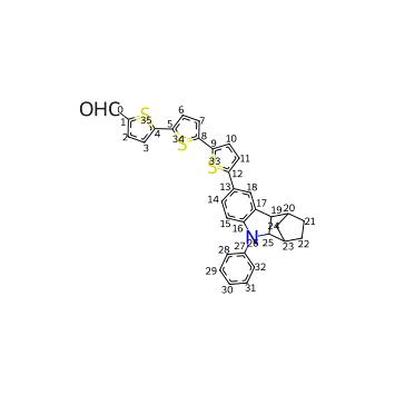 O=Cc1ccc(-c2ccc(-c3ccc(-c4ccc5c(c4)C4C6CCC(C6)C4N5c4ccccc4)s3)s2)s1